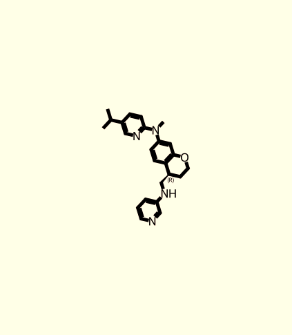 CC(C)c1ccc(N(C)c2ccc3c(c2)OCC[C@H]3CNc2cccnc2)nc1